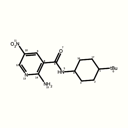 CC(C)(C)C1CCC(NC(=O)c2cc([N+](=O)[O-])cnc2N)CC1